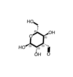 O=C[C@@H]1[C@H](O)[C@@H](O)O[C@H](CO)[C@H]1O